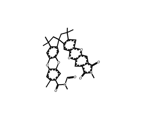 Cc1cc2c(cc1C(=O)N(C)C=O)Oc1cc3c(cc1O2)C(C)(C)CC31CC(C)(C)c2cc3oc4cc5c(=O)n(C)c(=O)c5cc4oc3cc21